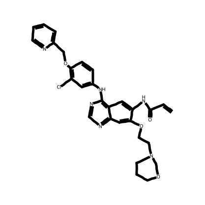 C=CC(=O)Nc1cc2c(Nc3ccc(OCc4ccccn4)c(Cl)c3)ncnc2cc1OCCN1CCCOC1